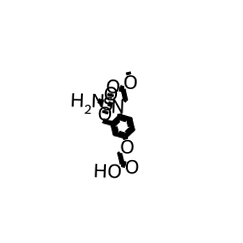 COC(=O)CN(c1ccc(OCC(=O)O)cc1C)S(N)(=O)=O